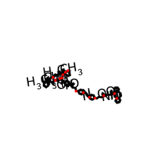 CC[N+]1=C(/C=C/C=C/C=C2\N(CCCCCC(=O)N3CCN(C(=O)CCCc4ccc(N=Nc5ccc(CCCC(=O)NCCC(=O)N6Cc7ccccc7C#Cc7ccccc76)cc5)cc4)CC3)c3ccccc3C2(C)C)C(C)(C)c2ccccc21